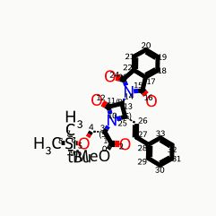 COC(=O)[C@H](CO[Si](C)(C)C(C)(C)C)N1C(=O)[C@H](N2C(=O)c3ccccc3C2=O)[C@@H]1C=Cc1ccccc1